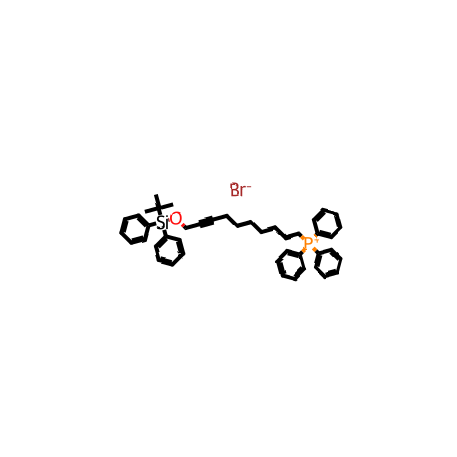 CC(C)(C)[Si](OCC#CCCCCCCC[P+](c1ccccc1)(c1ccccc1)c1ccccc1)(c1ccccc1)c1ccccc1.[Br-]